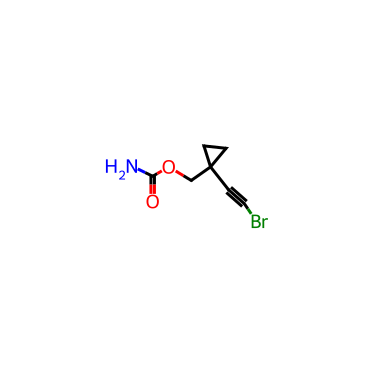 NC(=O)OCC1(C#CBr)CC1